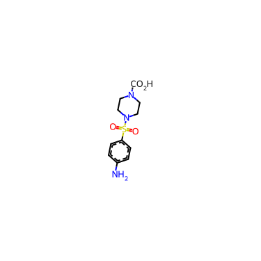 Nc1ccc(S(=O)(=O)N2CCN(C(=O)O)CC2)cc1